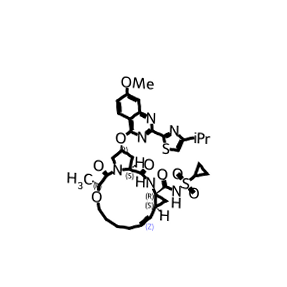 COc1ccc2c(O[C@@H]3C[C@H]4C(=O)N[C@]5(C(=O)NS(=O)(=O)C6CC6)C[C@H]5/C=C\CCCCO[C@H](C)C(=O)N4C3)nc(-c3nc(C(C)C)cs3)nc2c1